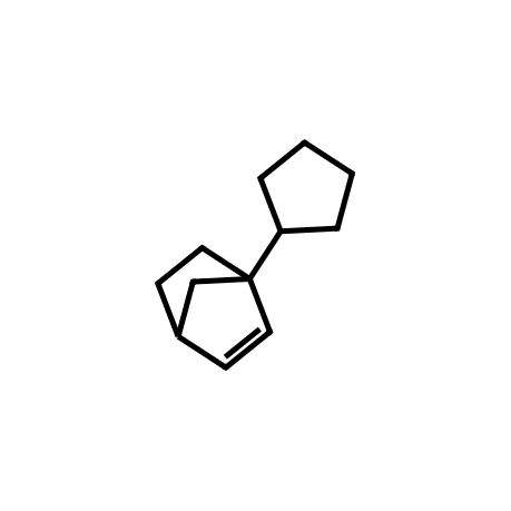 C1=CC2(C3CCCC3)CCC1C2